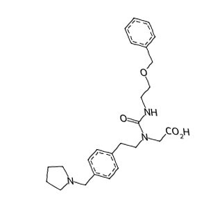 O=C(O)CN(CCc1ccc(CN2CCCC2)cc1)C(=O)NCCOCc1ccccc1